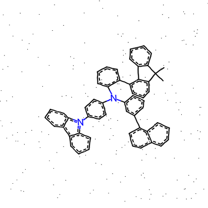 CC1(C)c2ccccc2-c2c(-c3ccccc3N(c3ccc(-n4c5ccccc5c5ccccc54)cc3)c3cccc(-c4cccc5ccccc45)c3)cccc21